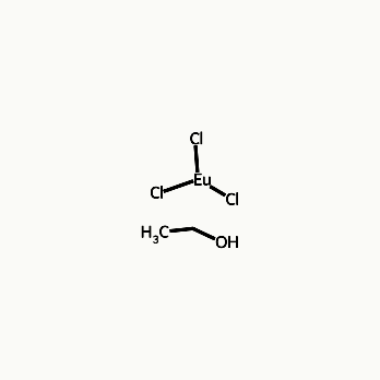 CCO.[Cl][Eu]([Cl])[Cl]